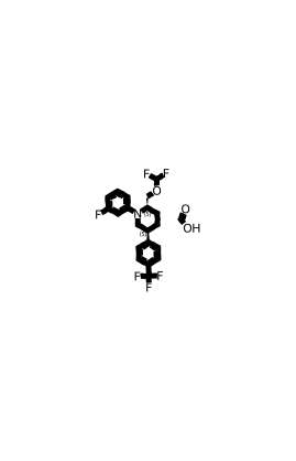 Fc1cccc(N2C[C@H](c3ccc(C(F)(F)F)cc3)CC[C@H]2COC(F)F)c1.O=CO